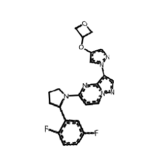 Fc1ccc(F)c(C2CCCN2c2ccn3ncc(-n4cc(OC5COC5)cn4)c3n2)c1